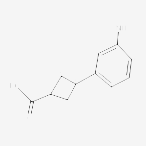 C=C(CC)C1CC(c2cccc(N)c2)C1